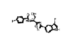 O=C(N[C@@H](CO)c1nc(C2=CC=C3NC=C(F)C3C2)no1)c1ccc(F)cc1